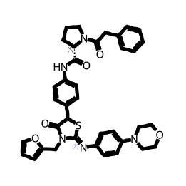 O=C(Nc1ccc(C2S/C(=N\c3ccc(N4CCOCC4)cc3)N(Cc3ccco3)C2=O)cc1)[C@@H]1CCCN1C(=O)Cc1ccccc1